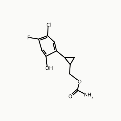 NC(=O)OCC1CC1c1cc(Cl)c(F)cc1O